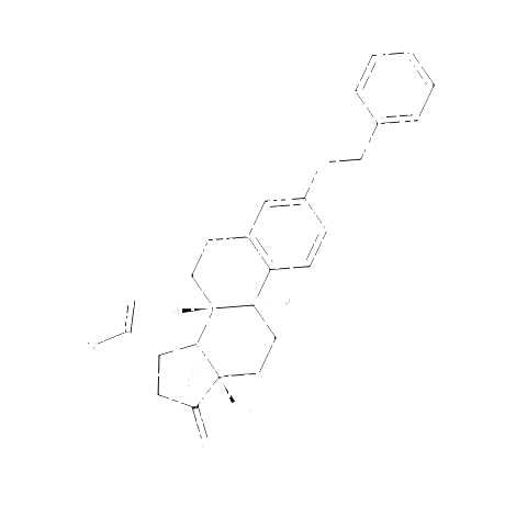 C[C@]12CC[C@@H]3c4ccc(OCc5ccccc5)cc4CC[C@H]3[C@@H]1[C@@H](C(N)=O)CC2=O